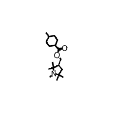 CC1CCC(C(=O)OCC2CC(C)(C)N(C)C2(C)C)CC1